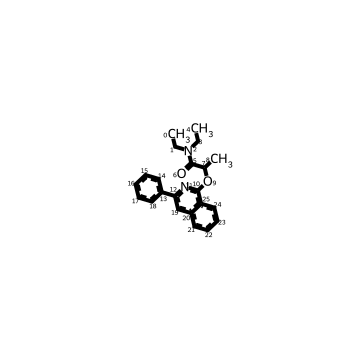 CCN(CC)C(=O)C(C)Oc1nc(-c2ccccc2)cc2ccccc12